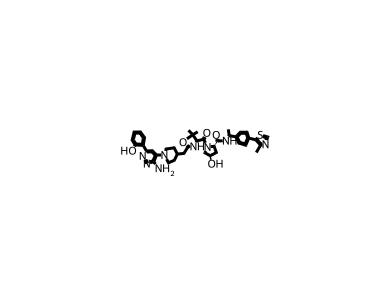 Cc1ncsc1-c1ccc(C(C)NC(=O)[C@@H]2C[C@@H](O)CN2C(=O)C(NC(=O)CC2CCN(c3cc(-c4ccccc4O)nnc3N)CC2)C(C)(C)C)cc1